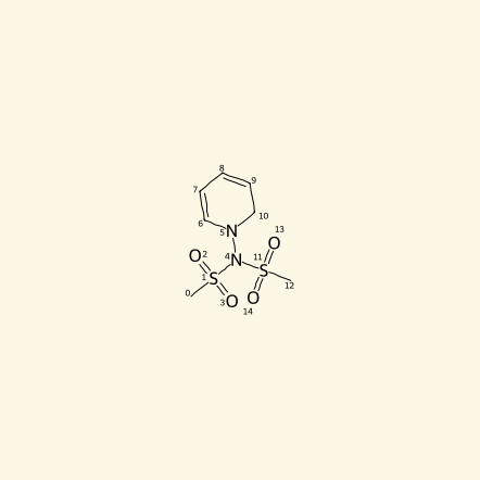 CS(=O)(=O)N(N1C=CC=CC1)S(C)(=O)=O